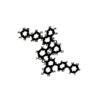 c1ccc(-c2ccc(-c3cc4c(oc5cccc6c5c4c4cccc5oc7c8ccccc8c(-c8ccc(-c9ccccc9)cc8)cc7c6c54)c4ccccc34)cc2)cc1